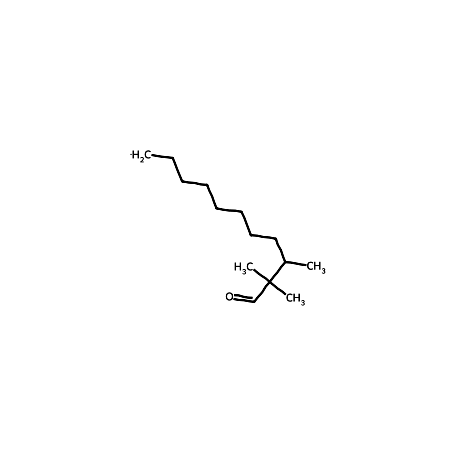 [CH2]CCCCCCCC(C)C(C)(C)C=O